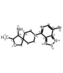 CC1OCC2(CCN(c3ncc(Br)c4nsnc34)CC2)C1N